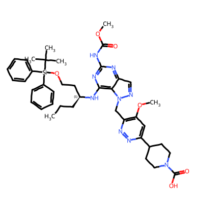 CCC[C@@H](CCO[Si](c1ccccc1)(c1ccccc1)C(C)(C)C)Nc1nc(NC(=O)OC)nc2cnn(Cc3nnc(C4CCN(C(=O)O)CC4)cc3OC)c12